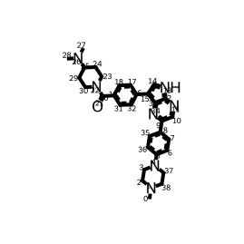 CN1CCN(c2ccc(-c3cnc4[nH]cc(-c5ccc(C(=O)N6CCC(N(C)C)CC6)cc5)c4n3)cc2)CC1